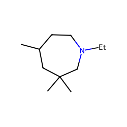 CCN1CCC(C)CC(C)(C)C1